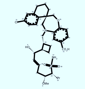 CO[C@H](C/C=C/[C@H](O)[C@@H]1CC[C@H]1CN1C[C@@]2(CCCc3cc(Cl)ccc32)COc2ccc(C(=O)O)cc21)[C@@H](C(C)C)S(N)(=O)=O